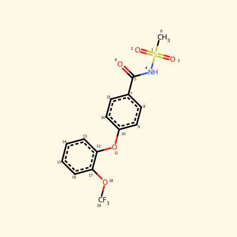 CS(=O)(=O)NC(=O)c1ccc(Oc2ccccc2OC(F)(F)F)cc1